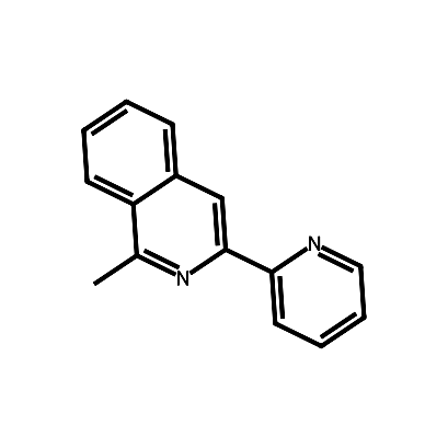 Cc1nc(-c2ccccn2)cc2ccccc12